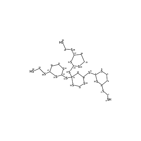 SCSC1CCSC(SC2CC(SC3SCCC(SCS)S3)(SC3SCCC(SCS)S3)SCS2)S1